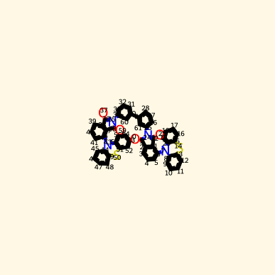 O=C1c2cccc(N3c4ccccc4Sc4ccccc43)c2C(=O)N1c1cccc(-c2cccc(N3C(=O)c4cccc(N5c6ccccc6Sc6ccccc65)c4C3=O)c2)c1